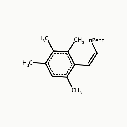 CCCCC/C=[C]\c1c(C)cc(C)c(C)c1C